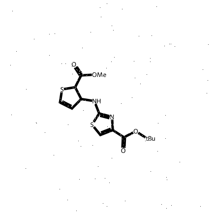 COC(=O)C1SC=CC1Nc1nc(C(=O)OC(C)(C)C)cs1